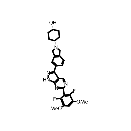 COc1cc(OC)c(F)c(-c2ncc3c(-c4ccc5c(c4)CN([C@H]4CC[C@@H](O)CC4)C5)n[nH]c3n2)c1F